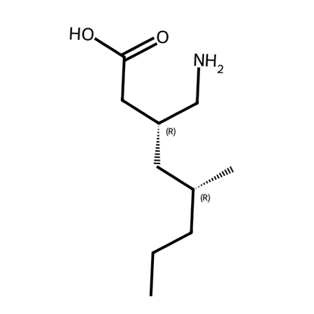 CCC[C@@H](C)C[C@@H](CN)CC(=O)O